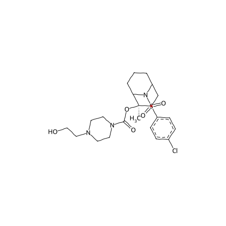 C[C@@]1(OC(=O)N2CCN(CCO)CC2)CCC2CCCC1N2S(=O)(=O)c1ccc(Cl)cc1